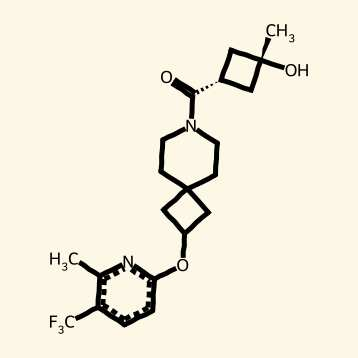 Cc1nc(OC2CC3(CCN(C(=O)[C@H]4C[C@@](C)(O)C4)CC3)C2)ccc1C(F)(F)F